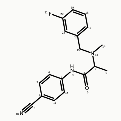 CC(C(=O)Nc1ccc(C#N)cc1)N(C)Cc1cccc(F)c1